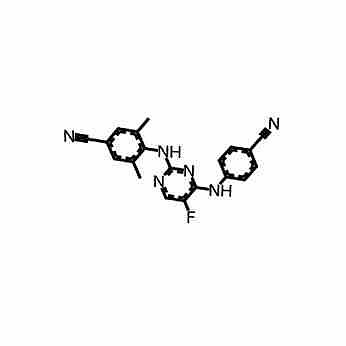 Cc1cc(C#N)cc(C)c1Nc1ncc(F)c(Nc2ccc(C#N)cc2)n1